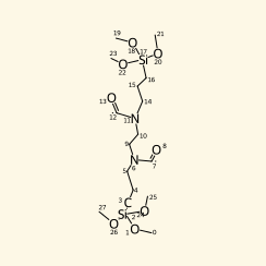 CO[Si](CCCN([C]=O)CCN([C]=O)CCC[Si](OC)(OC)OC)(OC)OC